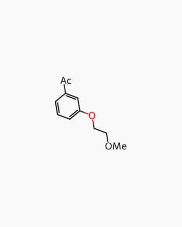 COCCOc1cccc(C(C)=O)c1